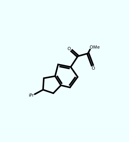 COC(=O)C(=O)c1ccc2c(c1)CC(C(C)C)C2